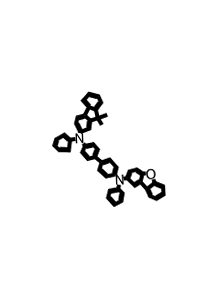 CC1(C)c2ccccc2-c2ccc(N(c3ccccc3)c3ccc(-c4ccc(N(c5ccccc5)c5ccc6oc7ccccc7c6c5)cc4)cc3)cc21